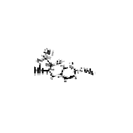 COc1ccc(C[C@H]2NC[C@H](O)[C@@H]2O)cc1